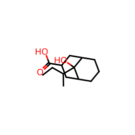 CCC(C)C1(O)C2CCCC1CC(C(=O)O)C2